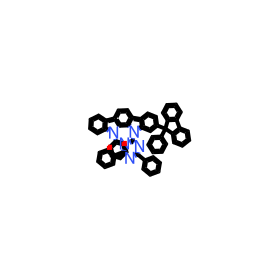 c1ccc(-c2nc(-c3ccccc3)nc(-n3c4cc(C5(c6ccccc6)c6ccccc6-c6ccccc65)ccc4c4ccc5c6ccccc6n(-c6ccccc6)c5c43)n2)cc1